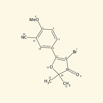 COc1ccc(C2=C(Br)C(=O)C(C)(C)O2)cc1C#N